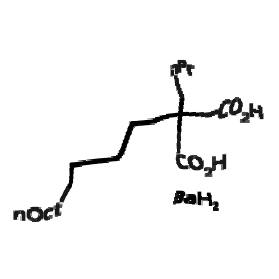 CCCCCCCCCCCC(CCC)(C(=O)O)C(=O)O.[BaH2]